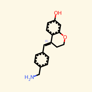 NCc1ccc(/C=C2\CCOc3cc(O)ccc32)cc1